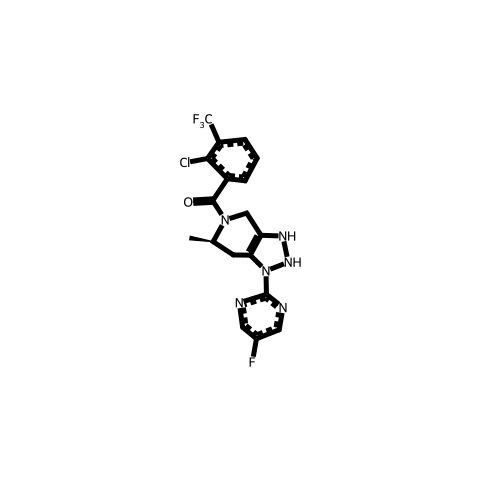 C[C@@H]1CC2=C(CN1C(=O)c1cccc(C(F)(F)F)c1Cl)NNN2c1ncc(F)cn1